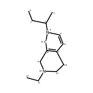 CCC(C)N1C=CC2=C(CN(CC)CC2)C1